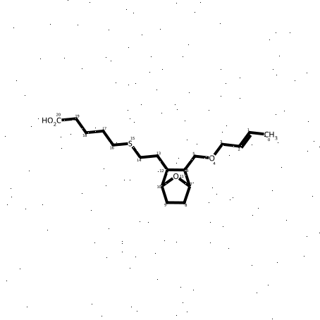 CC=CCOCC1C2CCC(O2)C1CCSCCCCC(=O)O